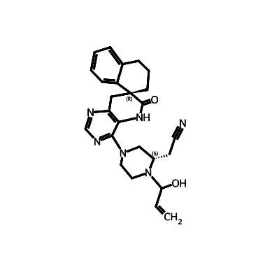 C=CC(O)N1CCN(c2ncnc3c2NC(=O)[C@]2(CCCc4ccccc42)C3)C[C@@H]1CC#N